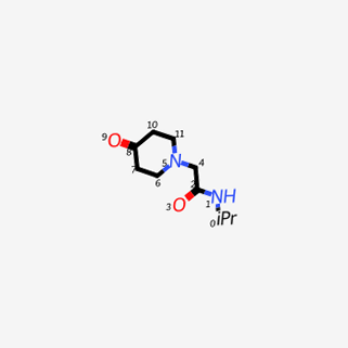 CC(C)NC(=O)CN1CCC(=O)CC1